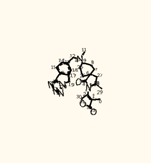 CC1=C(N2C(=O)C3(CCC(N(C)Cc4ccc5c(c4)Cn4nnnc4-5)CC3)C[C@H]2C)COC1=O